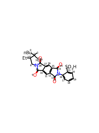 CCCCC(C)(CC)C(CC)Cn1c(=O)c2cc3c(=O)n(-c4ccccc4S(=O)(=O)O)c(=O)c3cc2c1=O